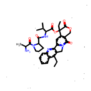 BC(N)C(=O)N1CCCC1C(=O)NC(C(=O)OC1(CC)C(=O)OCc2c1cc1n(c2=O)Cc2c-1nc1ccccc1c2CC)C(C)C